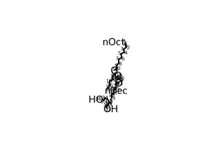 CCCCCCCC/C=C\CCCCCCCCOC(CCCCCCCCCCCCCCC)O[Si](C)(C)OCCCCCCN(CCO)CCO